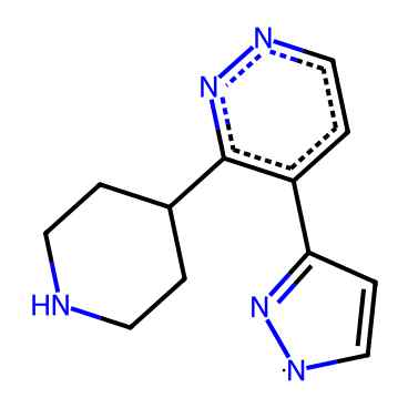 C1=CC(c2ccnnc2C2CCNCC2)=N[N]1